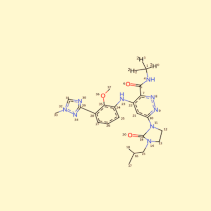 [2H]C([2H])([2H])NC(=O)c1nnc(N2CCN(CC(C)C)C2=O)cc1Nc1cccc(-c2ncn(C)n2)c1OC